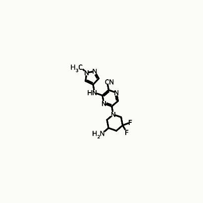 Cn1cc(Nc2nc(N3CC(N)CC(F)(F)C3)cnc2C#N)cn1